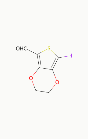 O=Cc1sc(I)c2c1OCCO2